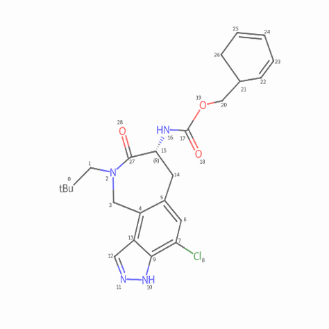 CC(C)(C)CN1Cc2c(cc(Cl)c3[nH]ncc23)C[C@@H](NC(=O)OCC2C=CC=CC2)C1=O